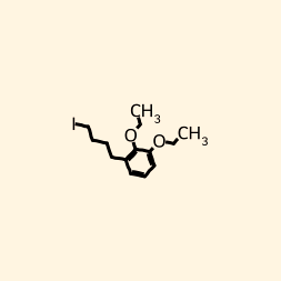 CCOc1cccc(CCCCI)c1OCC